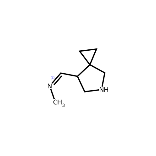 C/N=C\C1CNCC12CC2